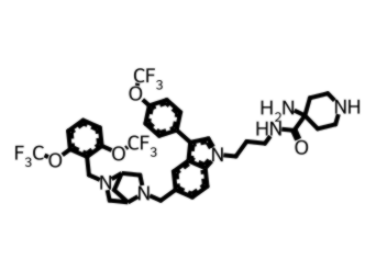 NC1(C(=O)NCCCn2cc(-c3ccc(OC(F)(F)F)cc3)c3cc(CN4CC5CC4CN5Cc4c(OC(F)(F)F)cccc4OC(F)(F)F)ccc32)CCNCC1